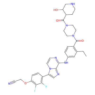 CCc1cc(Nc2nccn3c(-c4ccc(OCC#N)c(F)c4F)cnc23)ccc1C(=O)N1CCN(C(=O)C2CCNCC2O)CC1